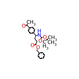 CC(=O)c1ccc(C(CCC(=O)OCc2ccccc2)NC(=O)OC(C)(C)C)cc1